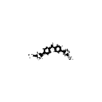 O=C(c1ccc(-c2noc(C(F)(F)F)n2)cc1)c1ccc(-c2noc(C(F)(F)F)n2)cc1